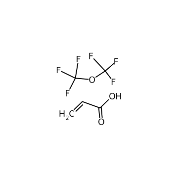 C=CC(=O)O.FC(F)(F)OC(F)(F)F